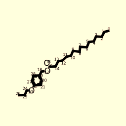 CCCCCCCCCCCCCCCC(=O)OCc1ccc(OCCC)cc1